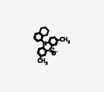 Cc1ccc2c(c1)[S+]([O-])c1cc(C)ccc1N2c1cccc2c1CCCC2